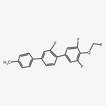 Cc1ccc(-c2ccc(-c3cc(F)c(OCF)c(F)c3)c(F)c2)cc1